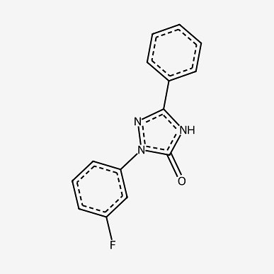 O=c1[nH]c(-c2ccccc2)nn1-c1cccc(F)c1